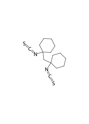 S=C=NC1(CC2(N=C=S)CCCCC2)CCCCC1